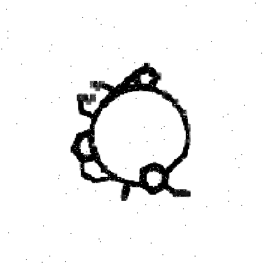 COc1cc2ccc1CCCCCCn1nnc3c(C)c(cnc31)C(CC(=O)O)c1ccc3c(c1)CN(CC3)C2=O